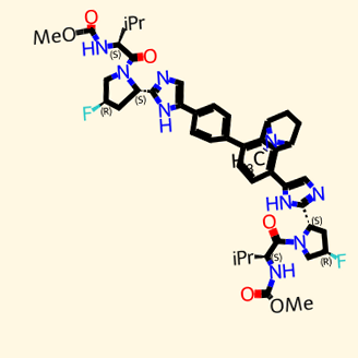 COC(=O)N[C@H](C(=O)N1C[C@H](F)C[C@H]1c1ncc(-c2ccc(-c3ccc(-c4cnc([C@@H]5C[C@@H](F)CN5C(=O)[C@@H](NC(=O)OC)C(C)C)[nH]4)c4c3C3CCC4N3C)cc2)[nH]1)C(C)C